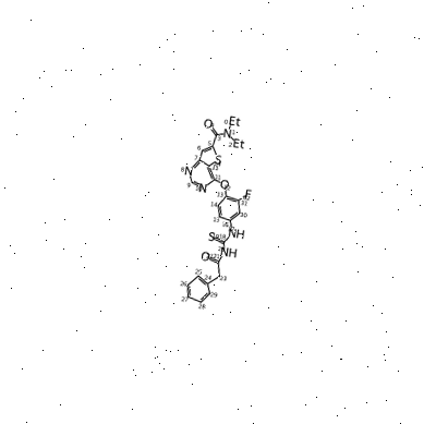 CCN(CC)C(=O)c1cc2ncnc(Oc3ccc(NC(=S)NC(=O)Cc4ccccc4)cc3F)c2s1